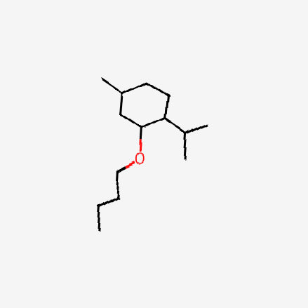 CCCCO[C]1CC(C)CCC1C(C)C